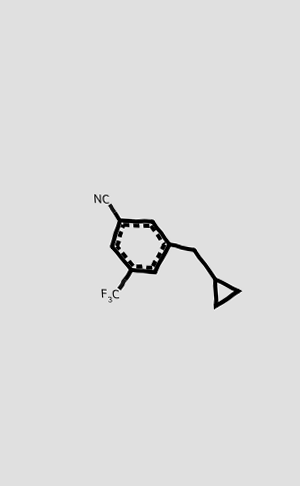 N#Cc1cc(CC2CC2)cc(C(F)(F)F)c1